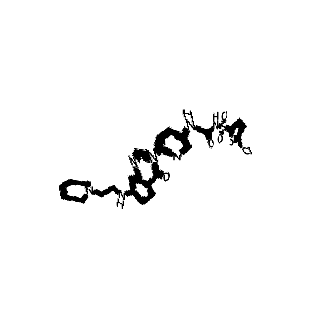 O=C(Nc1ccc(-n2cnc3cc(NCCN4CCCCC4)ccc3c2=O)nc1)NS(=O)(=O)c1ccc(Cl)s1